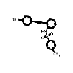 Cc1ccc(S(=O)(=O)Nc2ccccc2C#Cc2ccc(C(C)(C)C)cc2)cc1